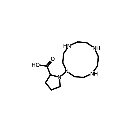 O=C(O)C1CCCN1N1CCNCCNCCNCC1